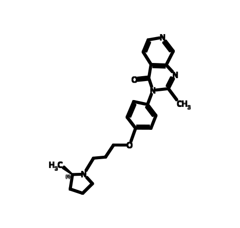 Cc1nc2cnccc2c(=O)n1-c1ccc(OCCCN2CCC[C@H]2C)cc1